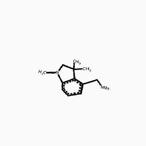 CNCc1cccc2c1C(C)(C)CN2C